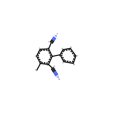 [CH2]c1ccc(C#N)c(-c2ccccc2)c1C#N